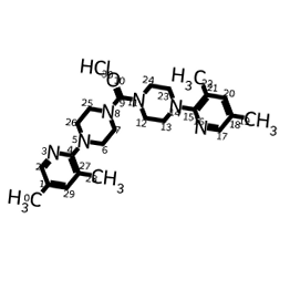 Cc1cnc(N2CCN(C(=O)N3CCN(c4ncc(C)cc4C)CC3)CC2)c(C)c1.Cl